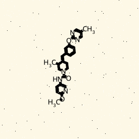 COc1ccc(NC(=O)N2CCC(=Cc3cccc(Oc4ncc(C)cn4)c3)C(C)C2)cn1